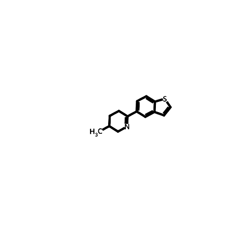 CC1CCC(c2ccc3sccc3c2)=NC1